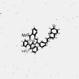 COC(=O)c1ccccc1CCC(NC(=O)/C(=C(/C(=O)O)c1ccccc1)c1ccccc1)c1cccc(/C=C/c2ccc3ccc(Cl)cc3n2)c1